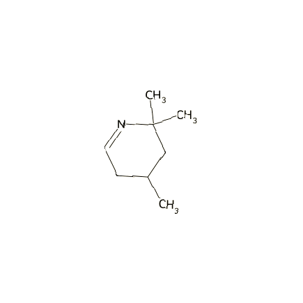 CC1CC=NC(C)(C)C1